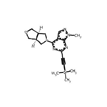 Cn1ncc2c(N3C[C@H]4COC[C@H]4C3)nc(C#C[Si](C)(C)C)nc21